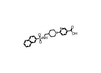 O=C(O)c1ccc(N2CCC(CNS(=O)(=O)c3ccc4ccccc4c3)CC2)nc1